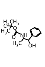 CC(NC(=O)OC(C)(C)C)C(O)c1ccccc1